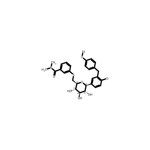 CCOc1ccc(Cc2cc([C@@H]3O[C@H](CSc4cccc(C(=O)N(C)C)c4)[C@@H](O)[C@H](O)[C@H]3O)ccc2Cl)cc1